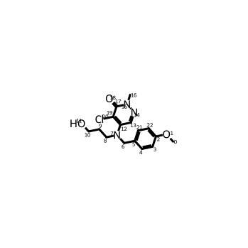 COc1ccc(CN(CCCO)c2cnn(C)c(=O)c2Cl)cc1